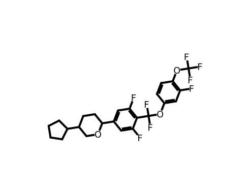 Fc1cc(OC(F)(F)c2c(F)cc(C3CCC(C4CCCC4)CO3)cc2F)ccc1OC(F)(F)F